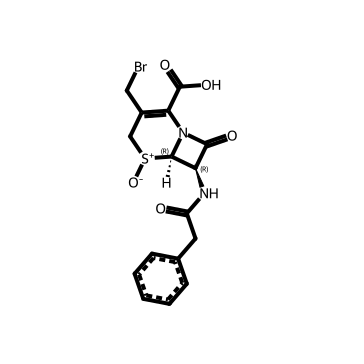 O=C(Cc1ccccc1)N[C@@H]1C(=O)N2C(C(=O)O)=C(CBr)C[S+]([O-])[C@H]12